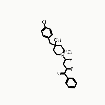 Cl.O=C(c1ccccc1)C(F)CC(F)N1CCC(O)(Cc2ccc(Cl)cc2)CC1